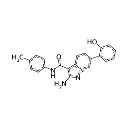 Cc1ccc(NC(=O)c2c(N)nn3cc(-c4ccccc4O)ccc23)cc1